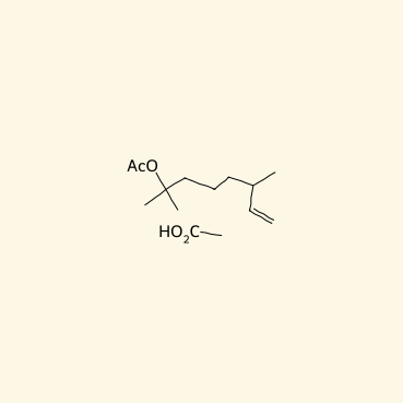 C=CC(C)CCCC(C)(C)OC(C)=O.CC(=O)O